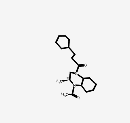 CC(=O)N1C2CCCCC2N(C(=O)CCC2CCCCC2)C[C@@H]1C